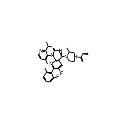 C=CC(=C)N1CCN(C2=NC(=C)N(c3c(C)ccnc3C(C)C)c3nc(-c4c(C)cccc4F)c(F)cc32)C(C)C1